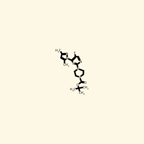 Cc1cc(C)n(-c2nc(N3CCN(C(=O)OC(C)(C)C)CC3)ncc2F)n1